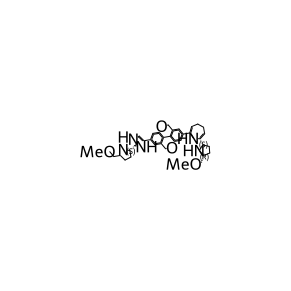 COCC1CC[C@@H](c2ncc(-c3cc4c5c(c3)OCc3cc(C6=CCCC=C([C@@H]7CC[C@H](COC)N7)N6)cc(c3-5)OC4)[nH]2)N1